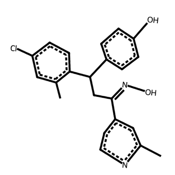 Cc1cc(C(CC(c2ccc(O)cc2)c2ccc(Cl)cc2C)=NO)ccn1